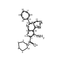 Nc1c(C(=O)N2CCCCC2)sc2nc(-c3ccccc3)n3cnnc3c12